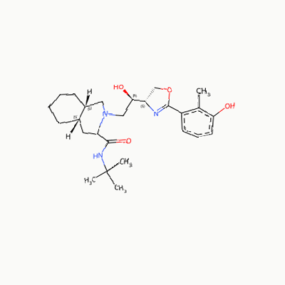 Cc1c(O)cccc1C1=N[C@H]([C@H](O)CN2C[C@H]3CCCC[C@H]3CC2C(=O)NC(C)(C)C)CO1